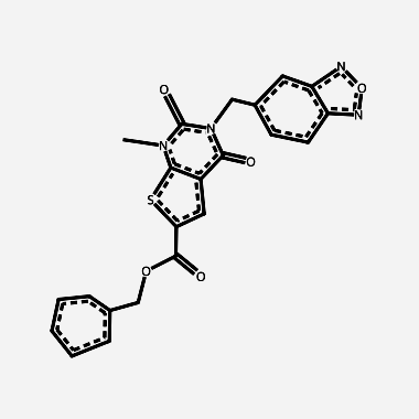 Cn1c(=O)n(Cc2ccc3nonc3c2)c(=O)c2cc(C(=O)OCc3ccccc3)sc21